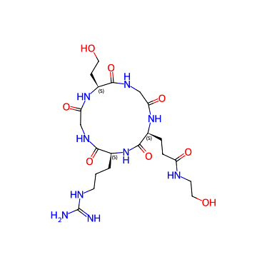 N=C(N)NCCC[C@@H]1NC(=O)[C@H](CCC(=O)NCCO)NC(=O)CNC(=O)[C@H](CCO)NC(=O)CNC1=O